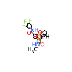 CCNC(=O)OC[C@]1(O)CC2CC[C@@H](C1)[C@H]2S(=O)(=O)c1cc(C(=O)Nc2cc(F)c(F)c(F)c2)ccc1Cl